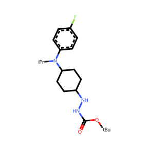 CC(C)N(c1ccc(F)cc1)C1CCC(NNC(=O)OC(C)(C)C)CC1